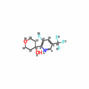 OC1(c2ncc(C(F)(F)F)cc2F)CCOCC1